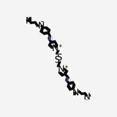 CN(C)CCCN(C)c1ccc(/C=C/c2cc[n+](CCSSCC[n+]3ccc(/C=C/c4ccc(N(C)CCCN(C)C)cc4)cc3)cc2)cc1